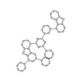 c1ccc(-c2cc(-c3ccccc3)c3oc4cccc(-c5nc(-c6ccccc6)nc(-c6cccc(-c7cccc8oc9ccccc9c78)c6)n5)c4c3c2)cc1